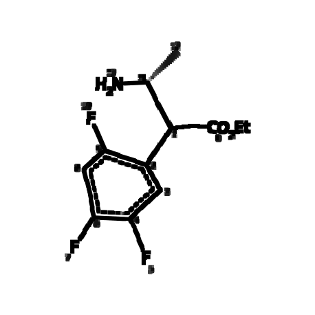 CCOC(=O)C(c1cc(F)c(F)cc1F)[C@@H](C)N